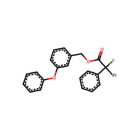 CC(C)C(F)(C(=O)OCc1cccc(Oc2ccccc2)c1)c1ccccc1